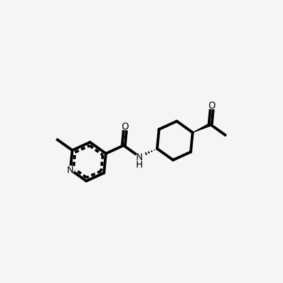 Cc1cc(C(=O)N[C@H]2CC[C@H](C(C)=O)CC2)ccn1